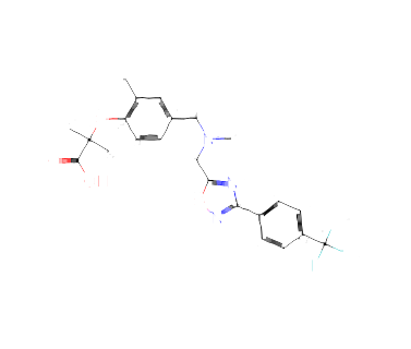 Cc1cc(CN(C)Cc2nc(-c3ccc(C(F)(F)F)cc3)no2)ccc1OC(C)(C)C(=O)O